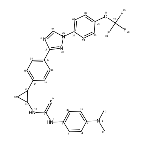 CN(C)c1ccc(NC(=S)NC2CC2c2ccc(-c3ncn(-c4ccc(OC(F)(F)F)cc4)n3)cc2)cc1